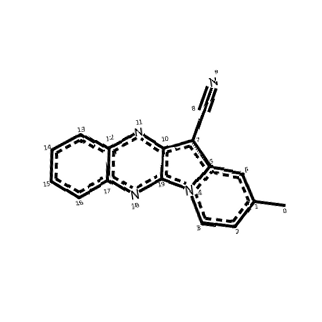 Cc1ccn2c(c1)c(C#N)c1nc3ccccc3nc12